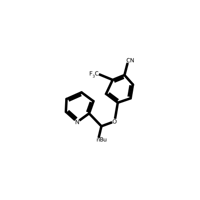 CCCCC(Oc1ccc(C#N)c(C(F)(F)F)c1)c1ccccn1